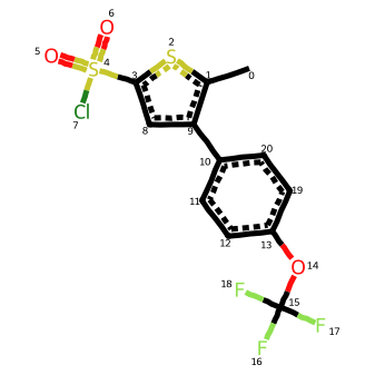 Cc1sc(S(=O)(=O)Cl)cc1-c1ccc(OC(F)(F)F)cc1